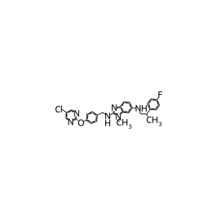 CC(CNc1ccc2nc(NCc3ccc(Oc4ncc(Cl)cn4)cc3)n(C)c2c1)c1ccc(F)cc1